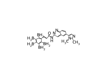 Bc1c(B)c(B)c(/C=C/C(=O)Nc2cc3cc(-c4cnc(C)n4C)ccc3nn2)c(B)c1B